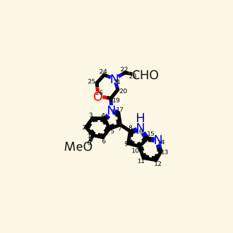 COc1ccc2c(c1)c(-c1cc3cccnc3[nH]1)cn2C1CN(CC=O)CCO1